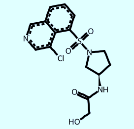 O=C(CO)N[C@@H]1CCN(S(=O)(=O)c2cccc3cncc(Cl)c23)C1